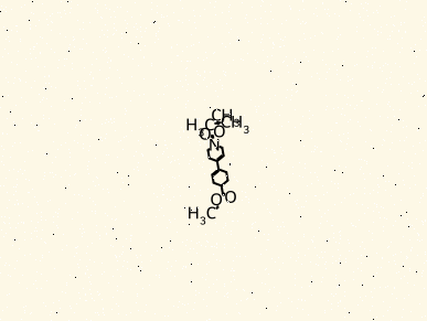 CCOC(=O)C1CC=C(C2=CCN(C(=O)OC(C)(C)C)CC2)CC1